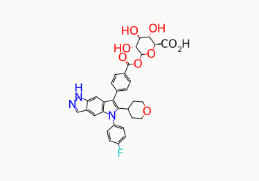 O=C(OC1O[C@H](C(=O)O)[C@@H](O)[C@H](O)[C@H]1O)c1ccc(-c2c(C3CCOCC3)n(-c3ccc(F)cc3)c3cc4cn[nH]c4cc23)cc1